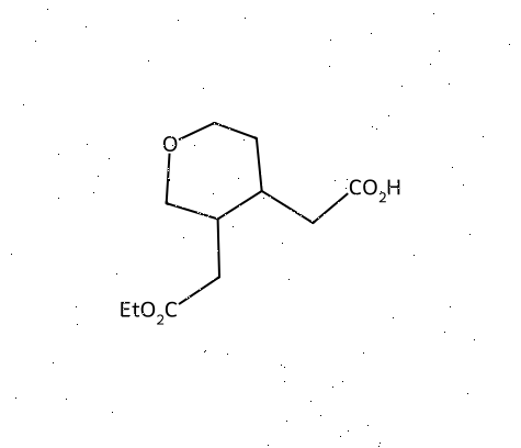 CCOC(=O)CC1COCCC1CC(=O)O